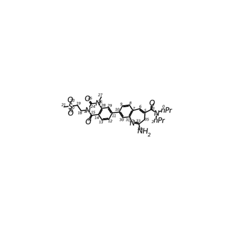 CCCN(CCC)C(=O)C1=Cc2ccc(-c3ccc4c(=O)n(CCS(C)(=O)=O)c(=O)n(C)c4c3)cc2N=C(N)C1